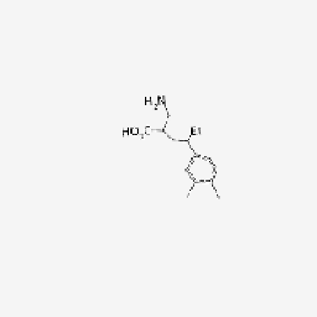 CCC(CC(CN)C(=O)O)c1ccc(C)c(C)c1